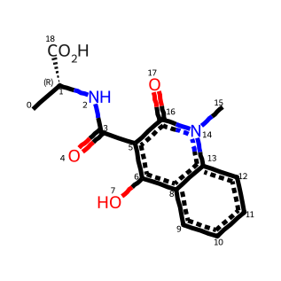 C[C@@H](NC(=O)c1c(O)c2ccccc2n(C)c1=O)C(=O)O